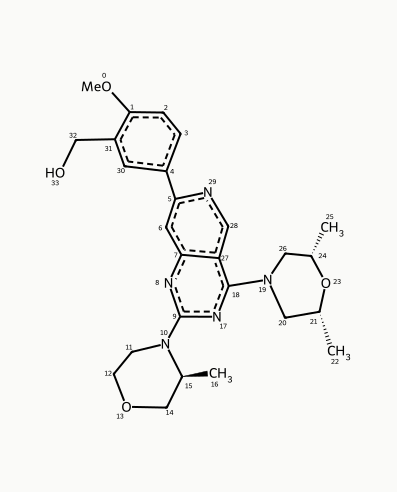 COc1ccc(-c2cc3nc(N4CCOC[C@@H]4C)nc(N4C[C@@H](C)O[C@@H](C)C4)c3cn2)cc1CO